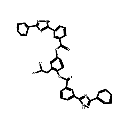 CC(=O)C(Cc1cc(OC(=O)c2cccc(-c3nc(-c4ccccc4)n[nH]3)c2)ccc1OC(=O)c1cccc(-c2nc(-c3ccccc3)n[nH]2)c1)C(C)=O